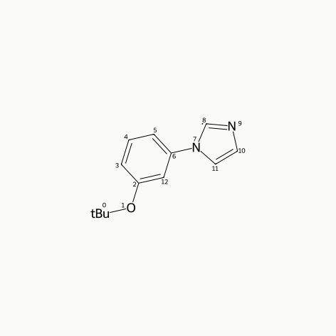 CC(C)(C)Oc1cccc(-n2[c]ncc2)c1